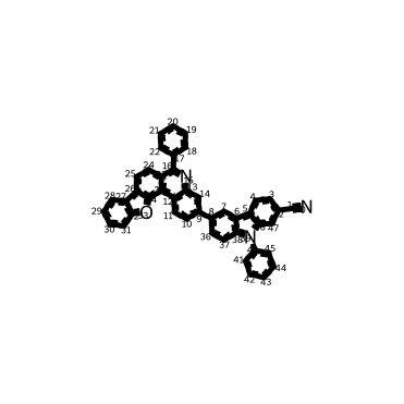 N#Cc1ccc2c3cc(-c4ccc5c(c4)nc(-c4ccccc4)c4ccc6c7ccccc7oc6c45)ccc3n(-c3ccccc3)c2c1